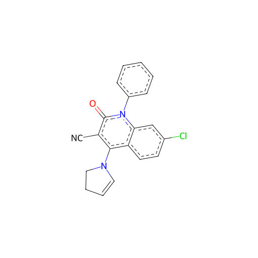 N#Cc1c(N2C=CCC2)c2ccc(Cl)cc2n(-c2ccccc2)c1=O